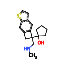 CNCC1(C2(O)CCCC2)Cc2cc3sccc3cc21